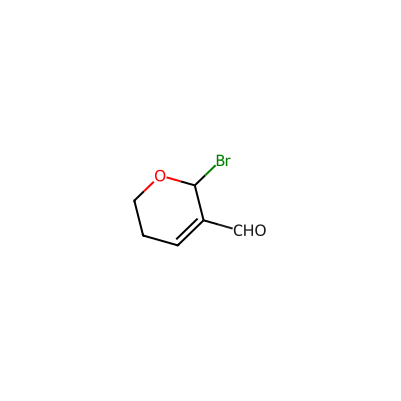 O=CC1=CCCOC1Br